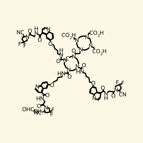 N#C[C@@H]1CC(F)(F)CN1C(=O)CNC(=O)c1ccnc2ccc(OCCCCNC(=O)N3CCN(C(=O)CN4CCN(CC(=O)O)CCN(CC(=O)O)CCN(CC(=O)O)CC4)CCN(C(=O)NCCCCOc4ccc5nccc(C(=O)NCC(=O)N6CC(F)(F)C[C@H]6C#N)c5c4)CCN(C(=O)NCCCCOc4ccc5nccc(C(=O)NCC(=O)N6CC(F)(F)C[C@H]6C#N)c5c4)CC3)cc12.O=CO